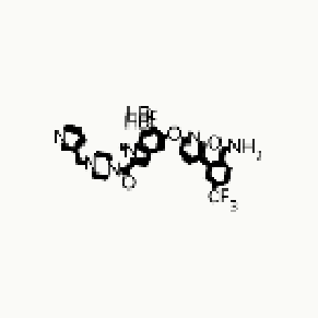 Br.Br.Cn1c(C(=O)N2CCN(Cc3cccnc3)CC2)cc2cc(Oc3ccc(-c4cc(C(F)(F)F)ccc4C(N)=O)cn3)ccc21